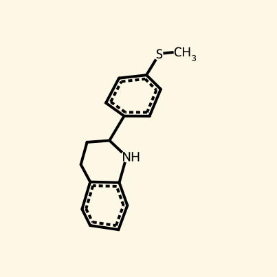 CSc1ccc(C2CCc3ccccc3N2)cc1